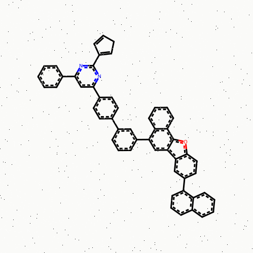 C1=CC(c2nc(-c3ccccc3)cc(-c3ccc(-c4cccc(-c5cc6c7cc(-c8cccc9ccccc89)ccc7oc6c6ccccc56)c4)cc3)n2)=CC1